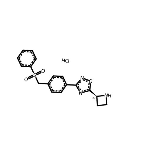 Cl.O=S(=O)(Cc1ccc(-c2noc([C@@H]3CCN3)n2)cc1)c1ccccc1